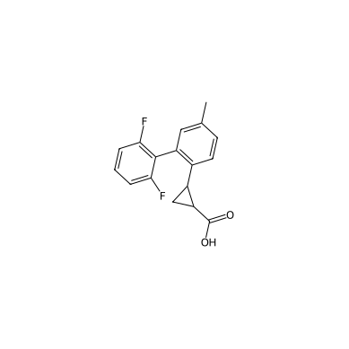 Cc1ccc(C2CC2C(=O)O)c(-c2c(F)cccc2F)c1